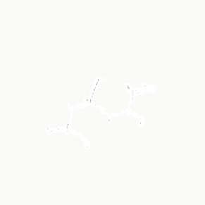 CC(C)CC(C)CC(C)C=O